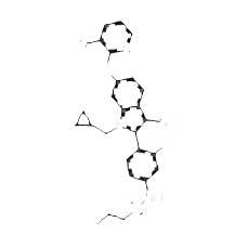 CCCS(=O)(=O)Nc1ccc(-c2c(N)c3ccc(Oc4ncccc4N)cc3n2CC2CC2)c(Cl)c1